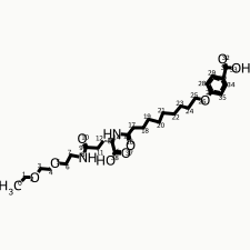 CCOCCOCCNC(=O)CC[C@H](NC(=O)CCCCCCCCCOc1ccc(C(=O)O)cc1)C(=O)O